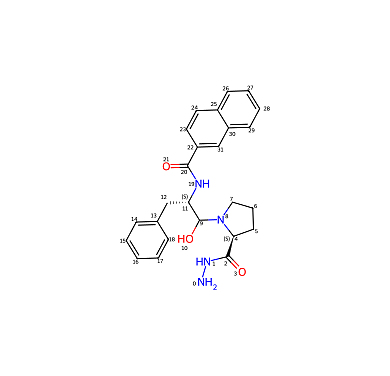 NNC(=O)[C@@H]1CCCN1C(O)[C@H](Cc1ccccc1)NC(=O)c1ccc2ccccc2c1